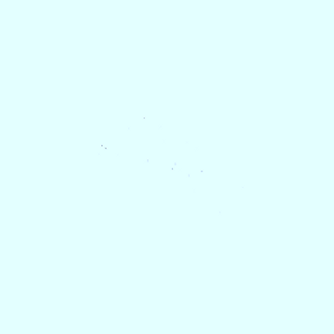 NCC1CCCC(c2ccc(OC(F)(F)F)cc2)O1